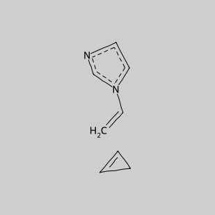 C1=CC1.C=Cn1ccnc1